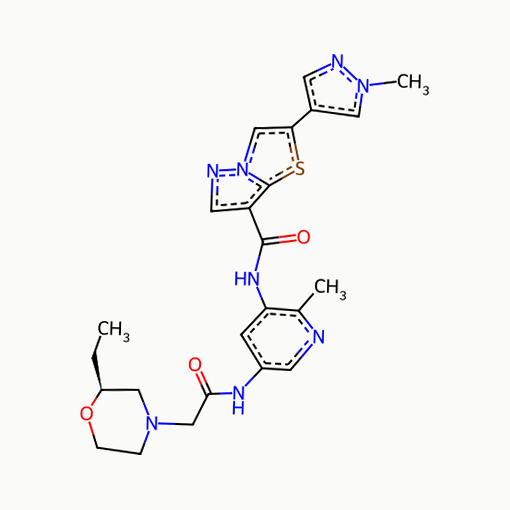 CC[C@H]1CN(CC(=O)Nc2cnc(C)c(NC(=O)c3cnn4cc(-c5cnn(C)c5)sc34)c2)CCO1